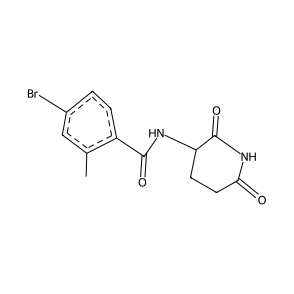 Cc1cc(Br)ccc1C(=O)NC1CCC(=O)NC1=O